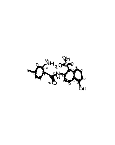 Cc1ccc(C(=O)Nc2ccc3c(O)cccc3c2S(=O)(=O)O)c(N)c1